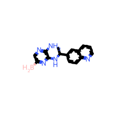 Bc1cnc(N)c(NC(C)c2ccc3ncccc3c2)n1